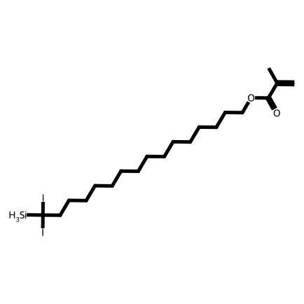 C=C(C)C(=O)OCCCCCCCCCCCCCCCC([SiH3])(I)I